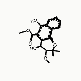 COC(=O)c1c2c(c3ccccc3c1O)OC(C)(C)C(OC)C2O